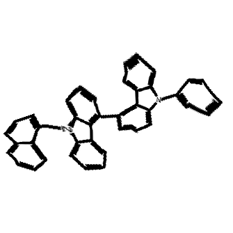 c1ccc(-n2c3ccccc3c3c(-c4cccc5c4c4ccccc4n5-c4cccc5ccccc45)cccc32)cc1